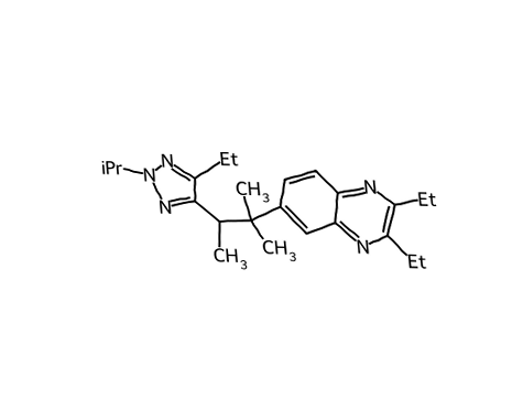 CCc1nc2ccc(C(C)(C)C(C)c3nn(C(C)C)nc3CC)cc2nc1CC